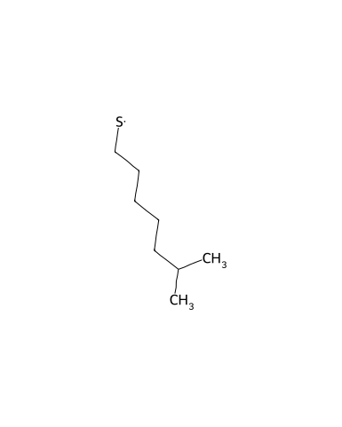 CC(C)CCCCC[S]